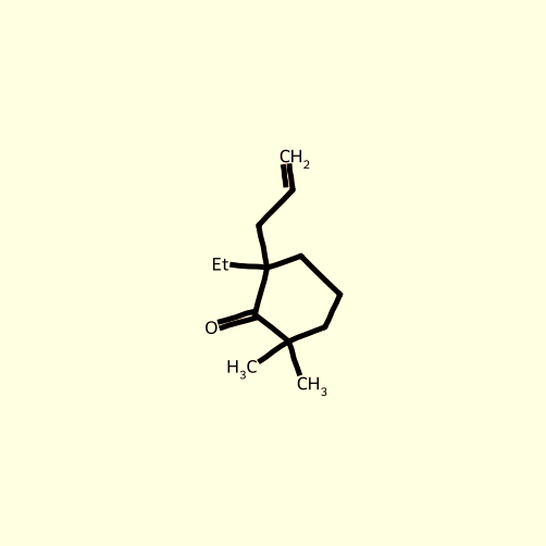 C=CCC1(CC)CCCC(C)(C)C1=O